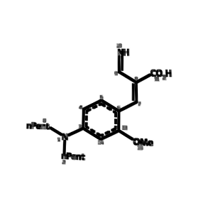 CCCCCN(CCCCC)c1ccc(/C=C(\C=N)C(=O)O)c(OC)c1